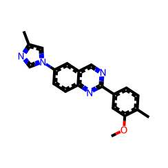 COc1cc(-c2ncc3cc(-n4cnc(C)c4)ccc3n2)ccc1C